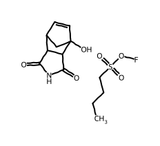 CCCCS(=O)(=O)OF.O=C1NC(=O)C2C1C1C=CC2(O)C1